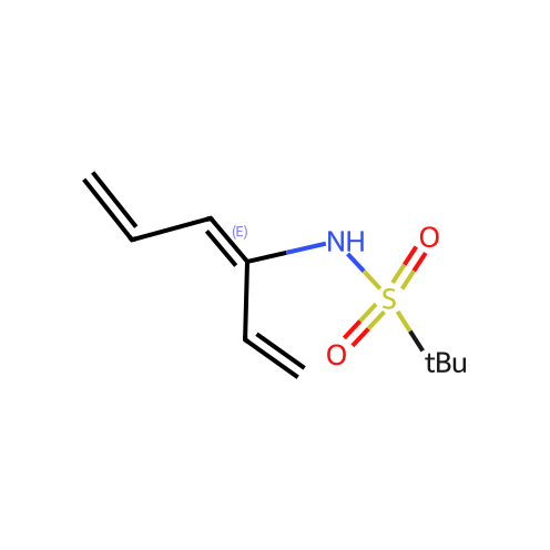 C=C/C=C(\C=C)NS(=O)(=O)C(C)(C)C